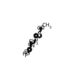 CCOC(=O)CCN1CCCc2c(OCCc3nc(-c4ccc(OC(F)(F)F)cc4)oc3C)cccc21